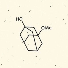 COC12C[C]3CC(CC(O)(C3)C1)C2